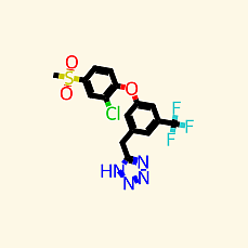 CS(=O)(=O)c1ccc(Oc2cc(Cc3nnn[nH]3)cc(C(F)(F)F)c2)c(Cl)c1